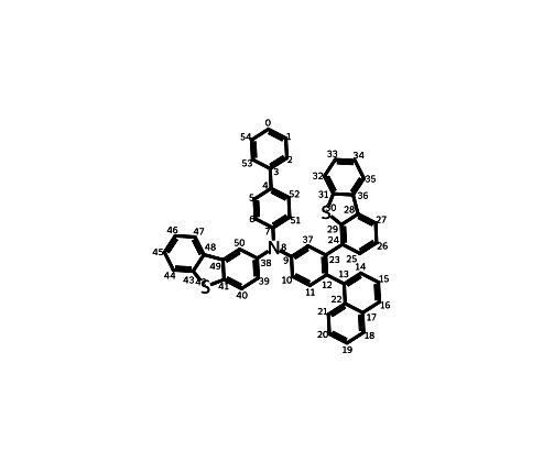 c1ccc(-c2ccc(N(c3ccc(-c4cccc5ccccc45)c(-c4cccc5c4sc4ccccc45)c3)c3ccc4sc5ccccc5c4c3)cc2)cc1